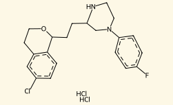 Cl.Cl.Fc1ccc(N2CCNC(CCC3OCCc4cc(Cl)ccc43)C2)cc1